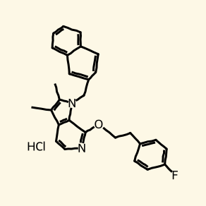 Cc1c(C)n(Cc2ccc3ccccc3c2)c2c(OCCc3ccc(F)cc3)nccc12.Cl